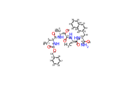 CC[C@H](C)C(NC(=O)[C@H](CC(C)C)NC(=O)OCc1ccccc1)C(=O)C(=O)N[C@@H](C)C(=O)N[C@@H](Cc1ccc2ccccc2c1)C(N)=O